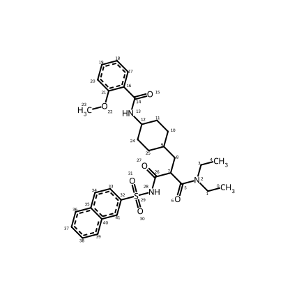 CCN(CC)C(=O)C(CC1CCC(NC(=O)c2ccccc2OC)CC1)C(=O)NS(=O)(=O)c1ccc2ccccc2c1